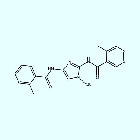 Cc1ccccc1C(=O)Nc1nc(NC(=O)c2ccccc2C)n(C(C)(C)C)n1